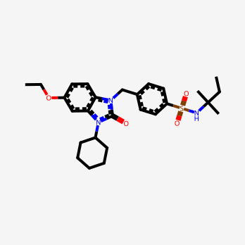 CCOc1ccc2c(c1)n(C1CCCCC1)c(=O)n2Cc1ccc(S(=O)(=O)NC(C)(C)CC)cc1